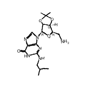 CC(C)CNc1nc2c(ncn2[C@@H]2O[C@H](CN)[C@@H]3OC(C)(C)OC32)c(=O)[nH]1